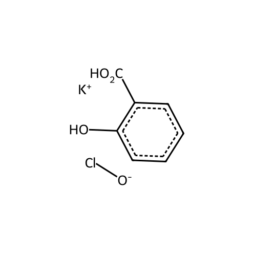 O=C(O)c1ccccc1O.[K+].[O-]Cl